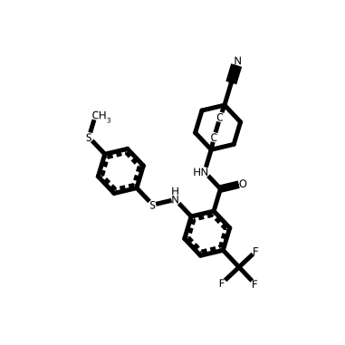 CSc1ccc(SNc2ccc(C(F)(F)F)cc2C(=O)NC23CCC(C#N)(CC2)CC3)cc1